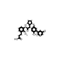 Cc1cc([C@H](C(=O)Nc2cccc(CCC(=O)O)c2C)C2CCCC2)c(F)cc1-c1cncc(Cl)c1